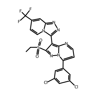 CCS(=O)(=O)c1nn2c(-c3cc(Cl)cc(Cl)c3)ccnc2c1-c1nnc2cc(C(F)(F)F)ccn12